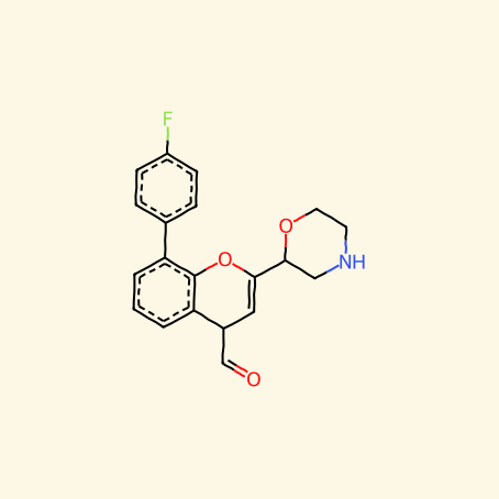 O=CC1C=C(C2CNCCO2)Oc2c(-c3ccc(F)cc3)cccc21